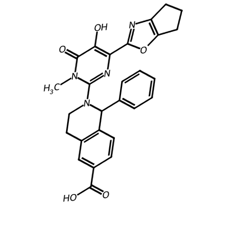 Cn1c(N2CCc3cc(C(=O)O)ccc3C2c2ccccc2)nc(-c2nc3c(o2)CCC3)c(O)c1=O